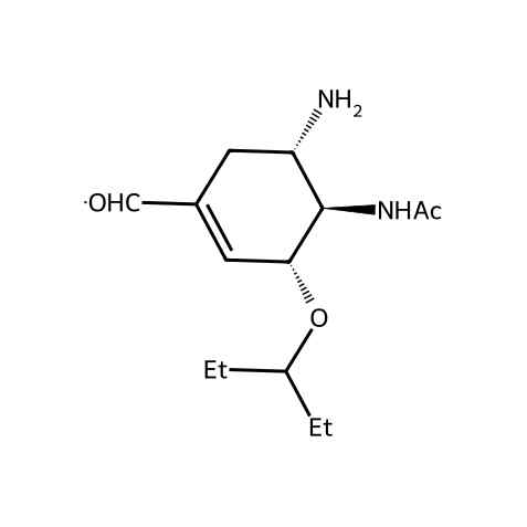 CCC(CC)O[C@@H]1C=C([C]=O)C[C@H](N)[C@H]1NC(C)=O